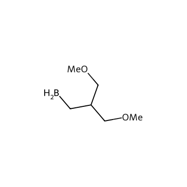 BCC(COC)COC